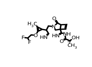 CC1=C(OCC(F)F)C1C(C=N)CN1CC2(C(=N)NC(=O)[C@@H](C)O)C=CC2C1=O